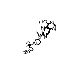 CN(c1ncc2ncnc(O)c2n1)C1CCN(C(=O)OC(C)(C)C)C1